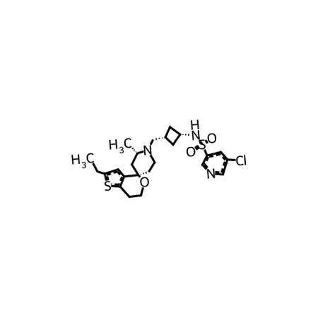 CCc1cc2c(s1)CCO[C@@]21CCN(C[C@H]2C[C@@H](NS(=O)(=O)c3cncc(Cl)c3)C2)[C@@H](C)C1